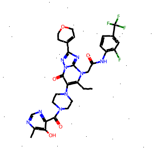 CCc1c(N2CCN(C(=O)c3ncnc(C)c3O)CC2)c(=O)n2nc(C3=CCOCC3)nc2n1CC(=O)Nc1ccc(C(F)(F)F)cc1F